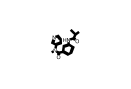 CC(C)C(=O)Nc1cccc(C(=O)N(C)c2cccnc2)c1